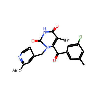 COc1cc(Cn2c(C(=O)c3cc(C)cc(Cl)c3)c(C(C)C)c(=O)[nH]c2=O)ccn1